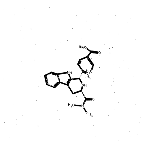 C=C(/C=C\C(=C/C)C(=O)OCC(C)C)[C@@H]1N[C@@H](C(=O)N(C)C)Cc2c1[nH]c1ccccc21